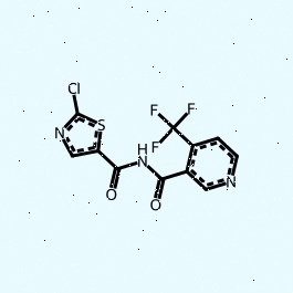 O=C(NC(=O)c1cnccc1C(F)(F)F)c1cnc(Cl)s1